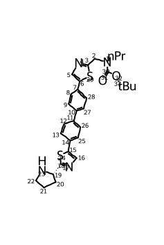 CCCN(Cc1ncc(-c2ccc(-c3ccc(-c4cnc([C@@H]5CCCN5)s4)cc3)cc2)s1)C(=O)OC(C)(C)C